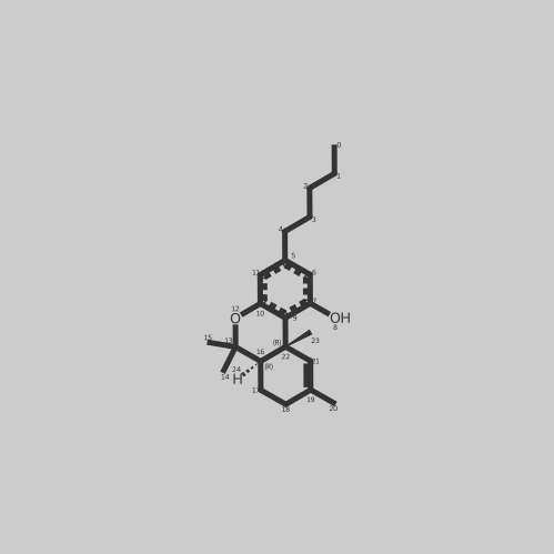 CCCCCc1cc(O)c2c(c1)OC(C)(C)[C@@H]1CCC(C)=C[C@@]21C